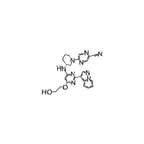 N#Cc1cnc(N2CCC[C@@H](Nc3cc(OCCO)nc(-c4cnn5ccccc45)n3)C2)cn1